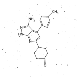 Cc1ccc(-c2cc(C3CCC(=O)CC3)nc3[nH]nc(N)c23)cc1